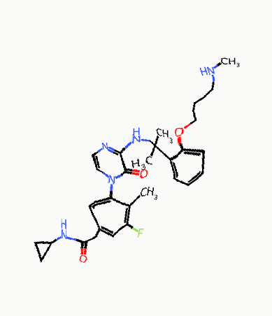 CNCCCOc1ccccc1C(C)(C)Nc1nccn(-c2cc(C(=O)NC3CC3)cc(F)c2C)c1=O